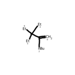 C=C(CCCC)C(CC)(CC)CC